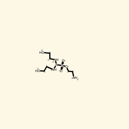 NCCOS(=O)(=O)N(NCCO)NCCO